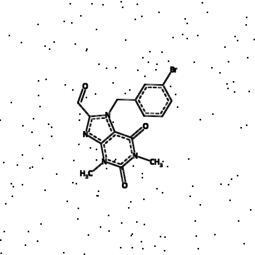 Cn1c(=O)c2c(nc(C=O)n2Cc2cccc(Br)c2)n(C)c1=O